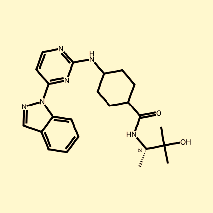 C[C@H](NC(=O)C1CCC(Nc2nccc(-n3ncc4ccccc43)n2)CC1)C(C)(C)O